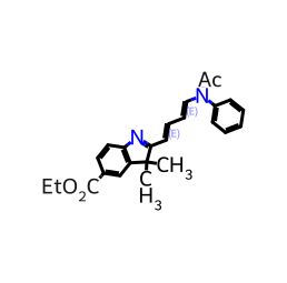 CCOC(=O)c1ccc2c(c1)C(C)(C)C(/C=C/C=C/N(C(C)=O)c1ccccc1)=N2